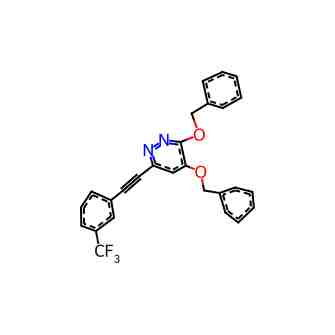 FC(F)(F)c1cccc(C#Cc2cc(OCc3ccccc3)c(OCc3ccccc3)nn2)c1